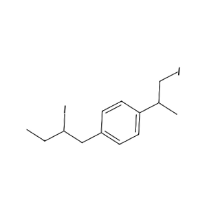 CCC(I)Cc1ccc(C(C)CI)cc1